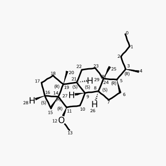 CCC[C@@H](C)[C@H]1CC[C@H]2[C@@H]3C[C@@H](OC)[C@]45C[C@@H]4CC[C@]5(C)[C@H]3CC[C@]12C